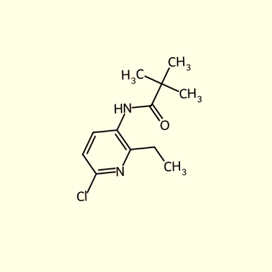 CCc1nc(Cl)ccc1NC(=O)C(C)(C)C